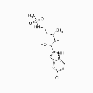 CC(CCNS(C)(=O)=O)NC(O)c1cc2cc(Cl)ccc2[nH]1